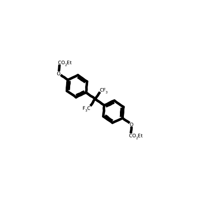 CCOC(=O)Oc1ccc(C(c2ccc(OC(=O)OCC)cc2)(C(F)(F)F)C(F)(F)F)cc1